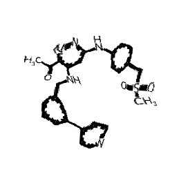 CC(=O)c1nnc(Nc2ccc(CS(C)(=O)=O)cc2)cc1NCc1cccc(-c2ccncc2)c1